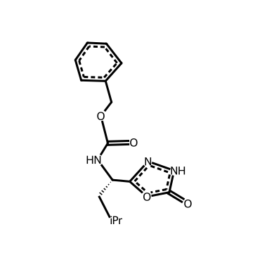 CC(C)C[C@H](NC(=O)OCc1ccccc1)c1n[nH]c(=O)o1